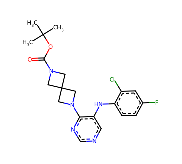 CC(C)(C)OC(=O)N1CC2(C1)CN(c1ncncc1Nc1ccc(F)cc1Cl)C2